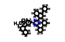 C[Si]1(C)c2ccc(-c3nc(-c4ccccc4-c4ccccc4)nc(-c4ccc(-c5ccccc5)c5ccccc45)n3)cc2-c2c1ccc1ccccc21